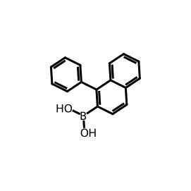 OB(O)c1ccc2ccccc2c1-c1ccccc1